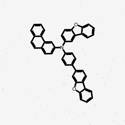 c1ccc2c(c1)ccc1ccc(N(c3ccc(-c4ccc5c(c4)oc4ccccc45)cc3)c3ccc4oc5ccccc5c4c3)cc12